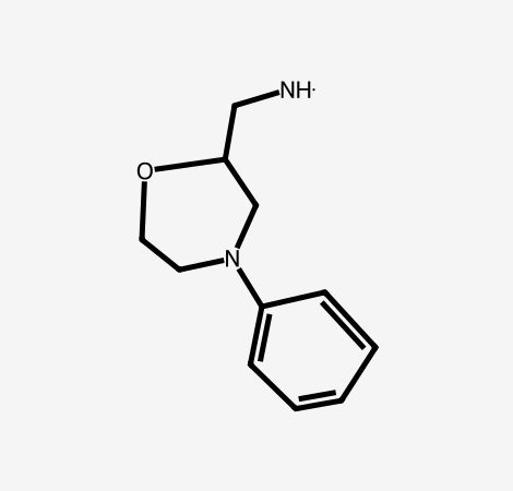 [NH]CC1CN(c2ccccc2)CCO1